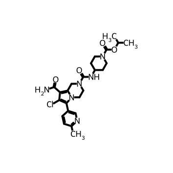 Cc1ccc(-c2c(Cl)c(C(N)=O)c3n2CCN(C(=O)NC2CCN(C(=O)OC(C)C)CC2)C3)cn1